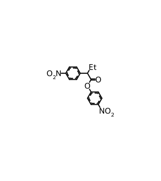 CCC(C(=O)Oc1ccc([N+](=O)[O-])cc1)c1ccc([N+](=O)[O-])cc1